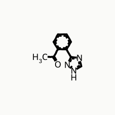 CC(=O)c1ccccc1-c1nc[nH]n1